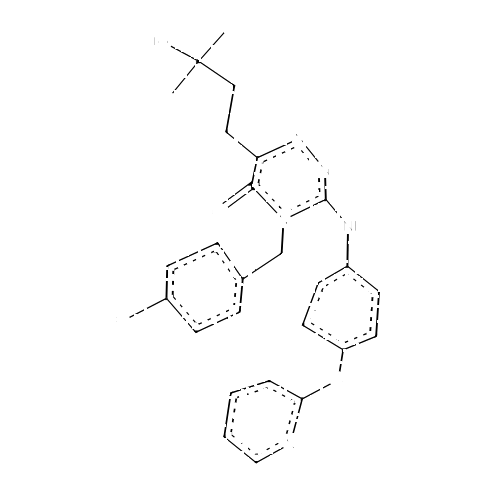 CC(C)(O)CCc1nnc(Nc2ccc(Oc3ccccn3)cc2)n(Cc2ccc(Cl)cc2)c1=O